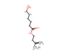 C=C(CCOC(=O)CCCCCO)C(=O)O